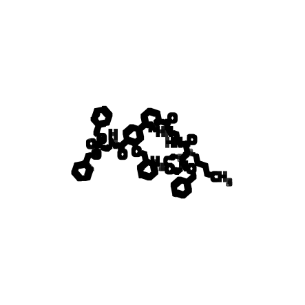 CCCCC[C@@H](C(=O)NCNC(=O)c1cccc(-c2ccc(C(=O)NCP(=O)(OCc3ccccc3)OCc3ccccc3)c(OCc3ccccc3)c2)n1)[C@@H](CC)N(C=O)OCc1ccccc1